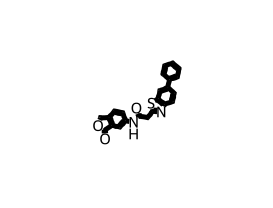 O=C(Cc1nc2ccc(-c3ccccc3)cc2s1)Nc1ccc2c(c1)C(=O)OC2